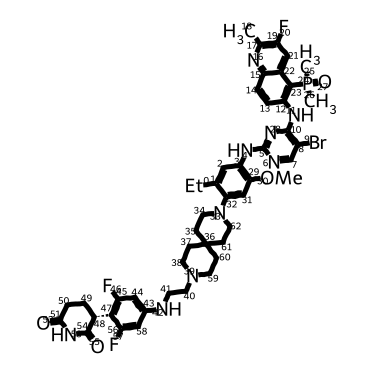 CCc1cc(Nc2ncc(Br)c(Nc3ccc4nc(C)c(F)cc4c3P(C)(C)=O)n2)c(OC)cc1N1CCC2(CCN(CCNc3cc(F)c([C@H]4CCC(=O)NC4=O)c(F)c3)CC2)CC1